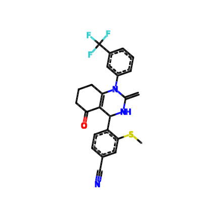 C=C1NC(c2ccc(C#N)cc2SC)C2=C(CCCC2=O)N1c1cccc(C(F)(F)F)c1